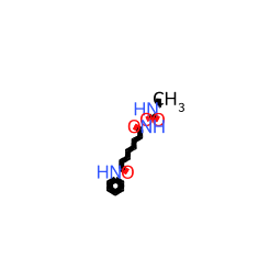 CCNC(=O)ONC(=O)CCCCCCC(=O)Nc1ccccc1